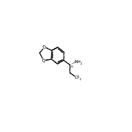 N[C@H](CC(F)(F)F)c1ccc2c(c1)OCO2